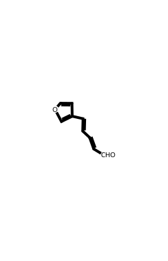 O=CC=CC=Cc1ccoc1